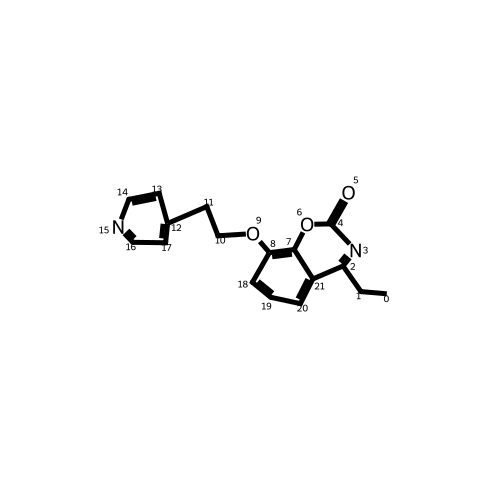 CCc1nc(=O)oc2c(OCCc3ccncc3)cccc12